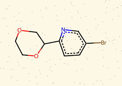 Brc1ccc(C2COCCO2)nc1